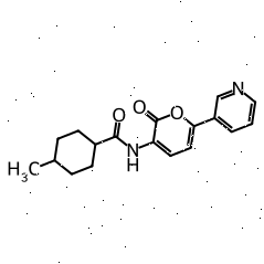 CC1CCC(C(=O)Nc2ccc(-c3cccnc3)oc2=O)CC1